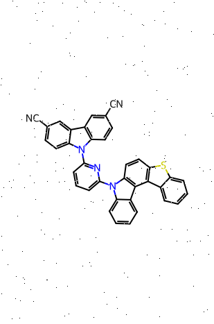 N#Cc1ccc2c(c1)c1cc(C#N)ccc1n2-c1cccc(-n2c3ccccc3c3c4c(ccc32)sc2ccccc24)n1